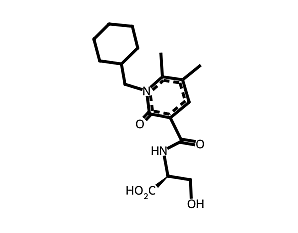 Cc1cc(C(=O)N[C@@H](CO)C(=O)O)c(=O)n(CC2CCCCC2)c1C